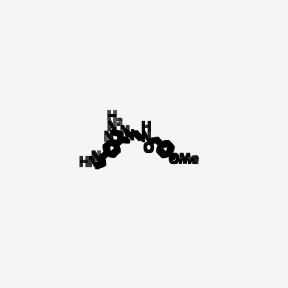 COc1ccc(CC(=O)NCCn2cc3c(n2)c(N)nc2cc(-c4cc[nH]n4)ccc23)cc1